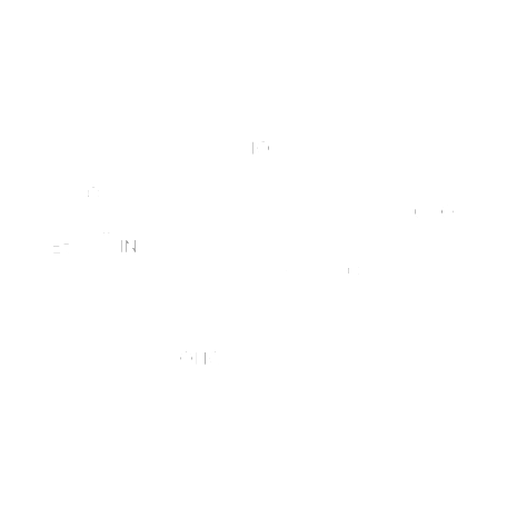 CCC(=O)Nc1cccc(C(c2cc(C=O)ccc2O)c2cc(C=O)ccc2O)c1